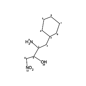 NC(CC1CCCCC1)C(O)C[N+](=O)[O-]